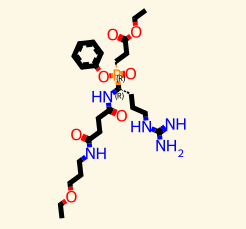 CCOCCCNC(=O)CCC(=O)N[C@@H](CCCNC(=N)N)[P@@](=O)(CCC(=O)OCC)Oc1ccccc1